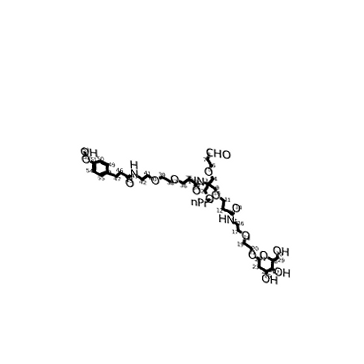 CCCOCC(COCCC=O)(COCCC(=O)NCCOCCOC1CC(O)C(O)C(CO)O1)NC(=O)CCOCCOCCNC(=O)CCc1ccc(OO)cc1